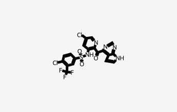 O=C(c1ncc(Cl)cc1NS(=O)(=O)c1ccc(Cl)c(C(F)(F)F)c1)c1ncnc2[nH]ccc12